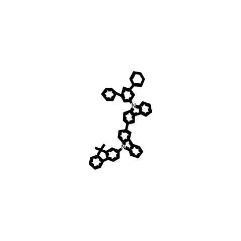 CC1(C)c2ccccc2-c2ccc(-n3c4ccccc4c4cc(-c5ccc6c(c5)c5ccccc5n6-c5cc(C6=CCCC=C6)cc(-c6ccccc6)c5)ccc43)cc21